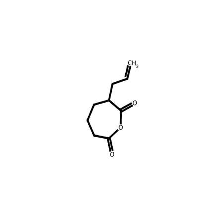 C=CCC1CCCC(=O)OC1=O